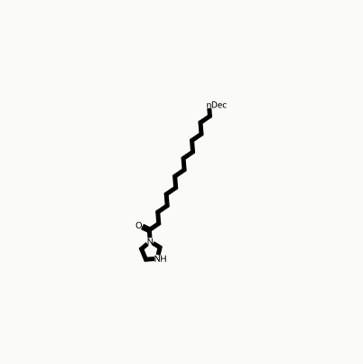 CCCCCCCCCCCCCCCCCCCCCCCC(=O)N1CCNC1